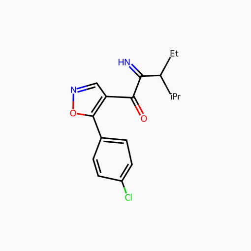 CCC(C(=N)C(=O)c1cnoc1-c1ccc(Cl)cc1)C(C)C